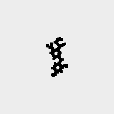 CC(C)(C)OC(=O)c1cc(Oc2ccc(Cl)cc2Cl)ccc1[N+](=O)[O-]